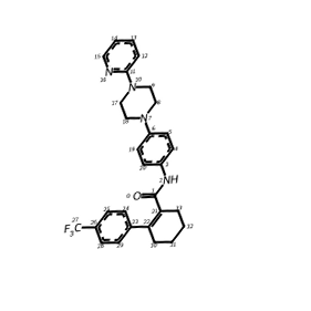 O=C(Nc1ccc(N2CCN(c3ccccn3)CC2)cc1)C1=C(c2ccc(C(F)(F)F)cc2)CCCC1